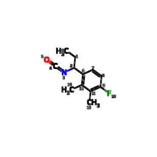 CCC(N=C=O)c1ccc(F)c(C)c1C